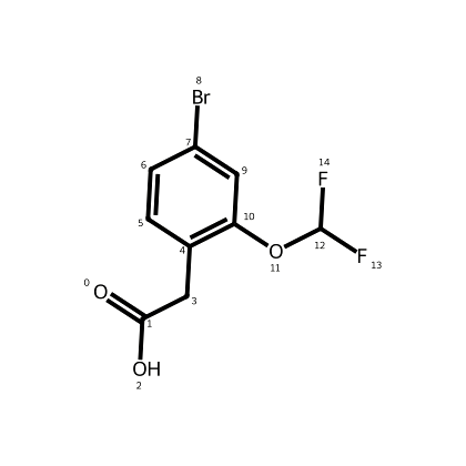 O=C(O)Cc1ccc(Br)cc1OC(F)F